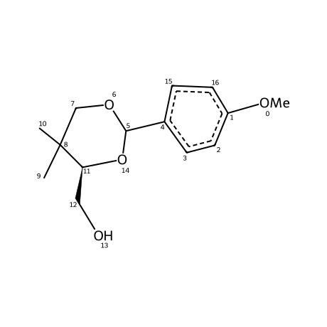 COc1ccc(C2OCC(C)(C)[C@H](CO)O2)cc1